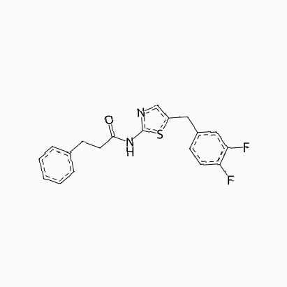 O=C(CCc1ccccc1)Nc1ncc(Cc2ccc(F)c(F)c2)s1